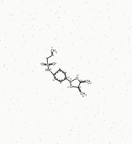 C=CCS(=O)(=O)Nc1ccc(B2OC(=C)C(=C)O2)cc1